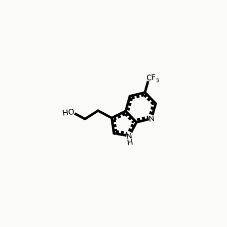 OCCc1c[nH]c2ncc(C(F)(F)F)cc12